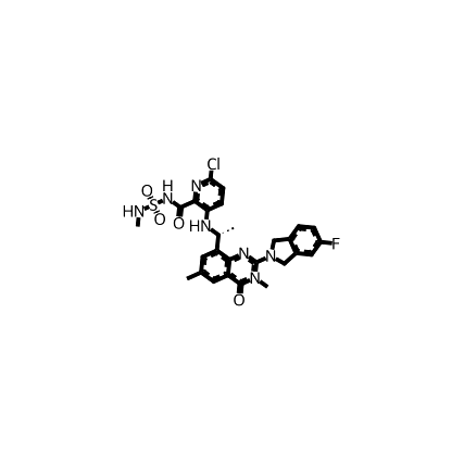 CNS(=O)(=O)NC(=O)c1nc(Cl)ccc1N[C@H](C)c1cc(C)cc2c(=O)n(C)c(N3Cc4ccc(F)cc4C3)nc12